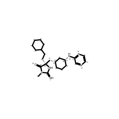 CN1C(=N)N[C@](CCC2CCCCC2)(C[C@H]2CCC[C@@H](Nc3cnccn3)C2)C1=O